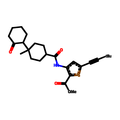 COC(=O)c1sc(C#CC(C)(C)C)cc1NC(=O)C1CCC(C)(C2CCCCC2=O)CC1